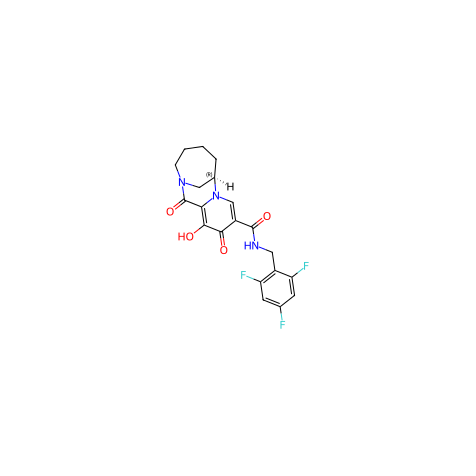 O=C(NCc1c(F)cc(F)cc1F)c1cn2c(c(O)c1=O)C(=O)N1CCCC[C@@H]2C1